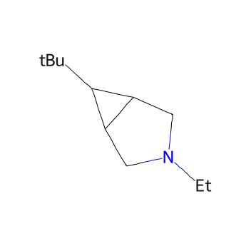 CCN1CC2C(C1)C2C(C)(C)C